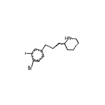 Fc1cc(CCCC2CCCCN2)ccc1Br